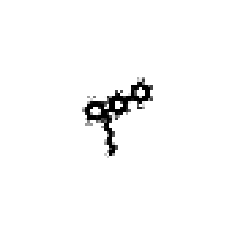 CCCCCCC1(c2ccc([C]3CCCCC3)cc2)CCCCC1